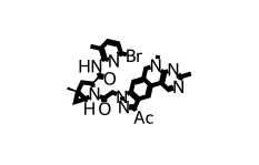 CC(=O)c1nn(CC(=O)N2[C@H](C(=O)Nc3nc(Br)ccc3C)C[C@@]3(C)C[C@@H]23)c2cc3c(cc12)-c1cnc(C)nc1N(C)C3